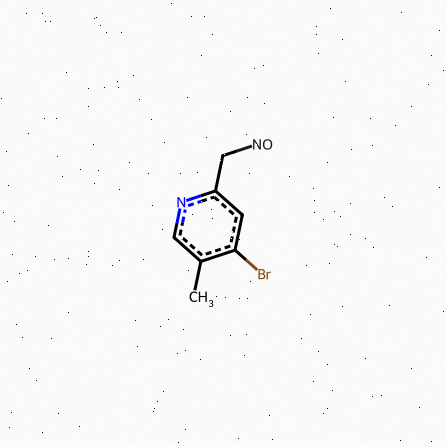 Cc1cnc(CN=O)cc1Br